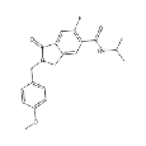 COc1ccc(CN2Cc3cc(C(=O)NC(C)C)c(F)cc3C2=O)cc1